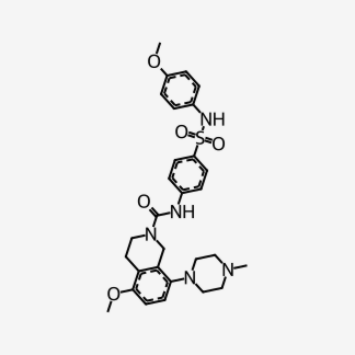 COc1ccc(NS(=O)(=O)c2ccc(NC(=O)N3CCc4c(OC)ccc(N5CCN(C)CC5)c4C3)cc2)cc1